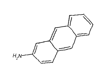 Nc1ccc2cc3cc[c]cc3cc2c1